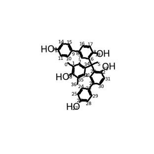 Cc1cc(C(C)(c2cc(-c3ccc(O)cc3)ccc2O)c2cc(-c3ccc(O)cc3)ccc2O)cc(C)c1O